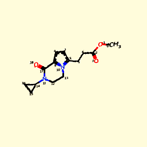 COC(=O)CCc1ccc2n1CCN(C1CC1)C2=O